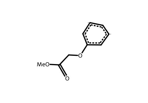 COC(=O)COc1c[c]c[c]c1